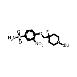 CC(C)(C)N1CCC(F)(COc2ccc(S(N)(=O)=O)cc2[N+](=O)[O-])CC1